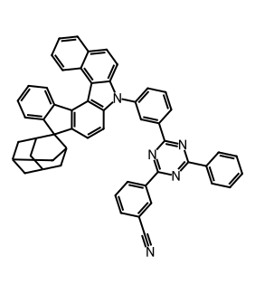 N#Cc1cccc(-c2nc(-c3ccccc3)nc(-c3cccc(-n4c5ccc6c(c5c5c7ccccc7ccc54)-c4ccccc4C64C5CC6CC(C5)CC4C6)c3)n2)c1